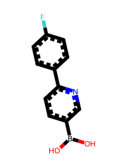 OB(O)c1ccc(-c2ccc(F)cc2)nc1